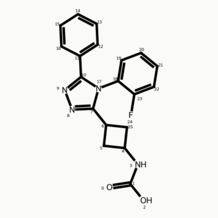 O=C(O)NC1CC(c2nnc(-c3ccccc3)n2-c2ccccc2F)C1